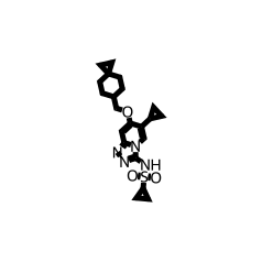 O=S(=O)(Nc1nnc2cc(OCC3CCC4(CC3)CC4)c(C3CC3)cn12)C1CC1